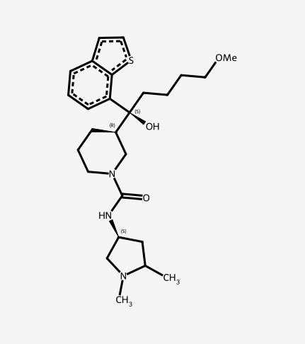 COCCCC[C@@](O)(c1cccc2ccsc12)[C@@H]1CCCN(C(=O)N[C@H]2CC(C)N(C)C2)C1